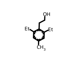 CCc1cc(C)cc(CC)c1CCO